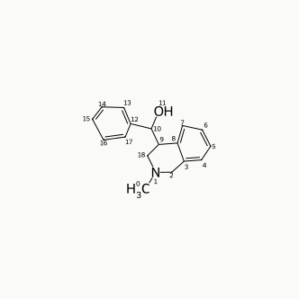 CN1Cc2ccccc2C(C(O)c2ccccc2)C1